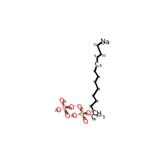 CCCCCCCCCCC[CH2][Na].O=S(=O)([O-])[O-].O=S(=O)([O-])[O-].[C+4]